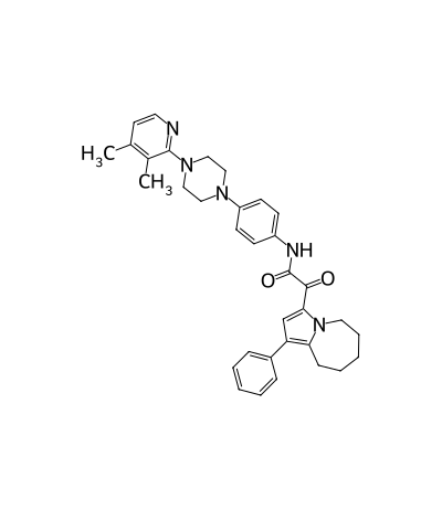 Cc1ccnc(N2CCN(c3ccc(NC(=O)C(=O)c4cc(-c5ccccc5)c5n4CCCCC5)cc3)CC2)c1C